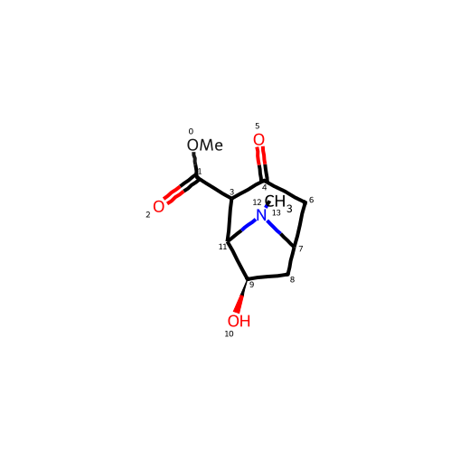 COC(=O)C1C(=O)CC2C[C@@H](O)C1N2C